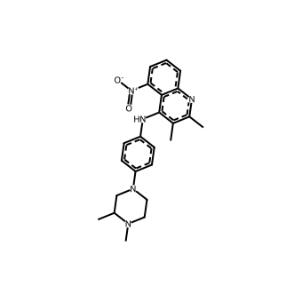 Cc1nc2cccc([N+](=O)[O-])c2c(Nc2ccc(N3CCN(C)C(C)C3)cc2)c1C